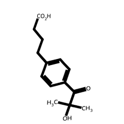 CC(C)(O)C(=O)c1ccc(CCCC(=O)O)cc1